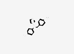 CSc1ccc(CN(c2ccc(C#N)cc2)n2ccnc2)cc1